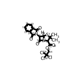 CC1(C)S[C@@H]2C(N3C(=O)c4ccccc4C3=O)C(=O)N2C1C(=O)OCC(Cl)(Cl)Cl